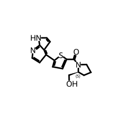 O=C(c1ccc(-c2ccnc3[nH]ccc23)s1)N1CCC[C@H]1CO